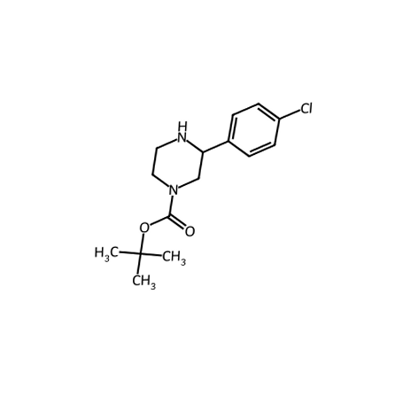 CC(C)(C)OC(=O)N1CCNC(c2ccc(Cl)cc2)C1